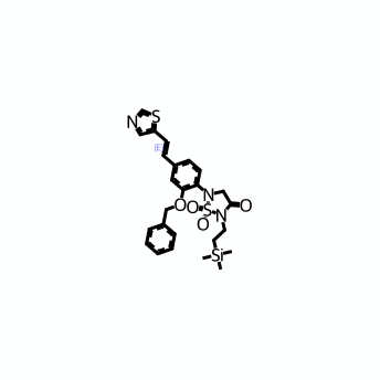 C[Si](C)(C)CCN1C(=O)CN(c2ccc(/C=C/c3cncs3)cc2OCc2ccccc2)S1(=O)=O